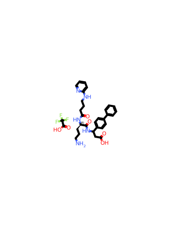 NCCC[C@@H](NC(=O)CCCNc1ccccn1)C(=O)NC(CC(=O)O)c1ccc(-c2ccccc2)cc1.O=C(O)C(F)(F)F